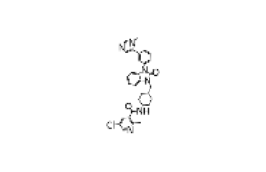 Cc1ncc(Cl)cc1C(=O)NC1CCC(Cn2c(=O)n(-c3cccc(-c4cncn4C)c3)c3ccccc32)CC1